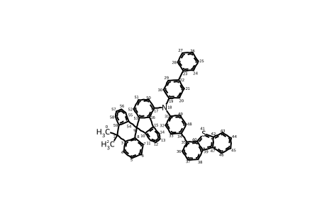 CC1(C)c2ccccc2C2(c3ccccc3-c3c(N(c4ccc(-c5ccccc5)cc4)c4ccc(-c5cccc6c5sc5ccccc56)cc4)cccc32)c2ccccc21